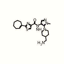 Cn1ncc(N(N)C(=O)c2csc(C3=CCCCCC3)n2)c1N1CCC(CN)CC1